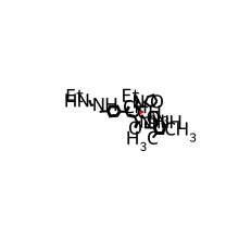 C=C(/C=C(C(=O)NCc1c(C)cc(C)[nH]c1=O)\C(C)=C\N(CC)C1CCOCC1)c1ccc(CNCCNCC)cc1